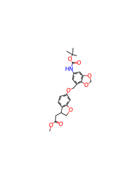 COC(=O)CC1COc2cc(OCc3cc(NC(=O)OC(C)(C)C)cc4c3OCO4)ccc21